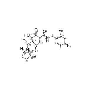 O=C(NCc1ccc(F)cc1F)c1cn2c(c(O)c1=O)C(=O)N1C(C2)[C@H]2CC[C@@H]1C2